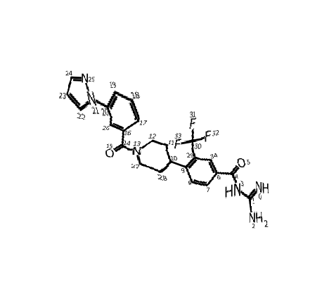 N=C(N)NC(=O)c1ccc(C2CCN(C(=O)c3cccc(-n4cccn4)c3)CC2)c(C(F)(F)F)c1